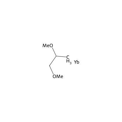 COCC(C)OC.[Yb]